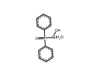 O.O=P(NO)(c1ccccc1)c1ccccc1